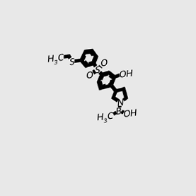 CCSc1cccc(S(=O)(=O)c2ccc(C3CCN(B(C)O)C3)c(O)c2)c1